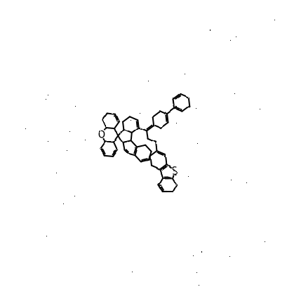 C1=CC2OC3CCC=CC3C3(C2C=C1)C1C=CC2=C(CCC=C2)C1C1C(/C(CCC2=Cc4sc5c(c4CC2)C=CCC5)=C2/CC=C(C4=CCCC=C4)CC2)=CCCC13